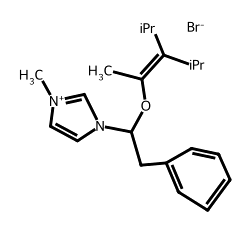 CC(OC(Cc1ccccc1)n1cc[n+](C)c1)=C(C(C)C)C(C)C.[Br-]